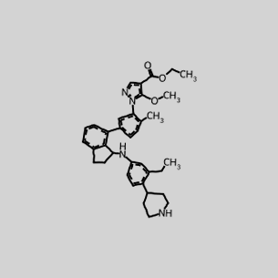 CCOC(=O)c1cnn(-c2cc(-c3cccc4c3C(Nc3ccc(C5CCNCC5)c(CC)c3)CC4)ccc2C)c1OC